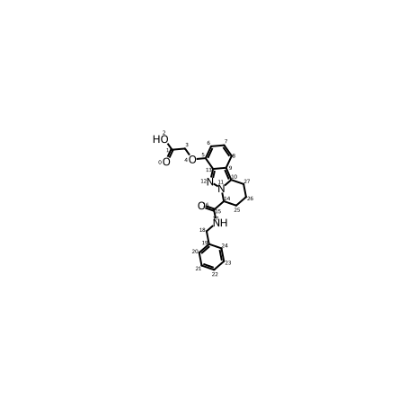 O=C(O)COc1cccc2c3n(nc12)C(C(=O)NCc1ccccc1)CCC3